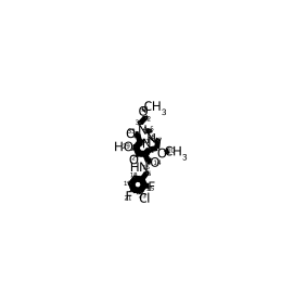 COCCN1CN2CC(OC)c3c(C(=O)NCc4ccc(F)c(Cl)c4F)c(=O)c(O)c(n32)C1=O